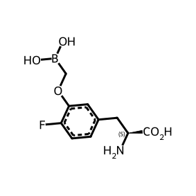 N[C@@H](Cc1ccc(F)c(OCB(O)O)c1)C(=O)O